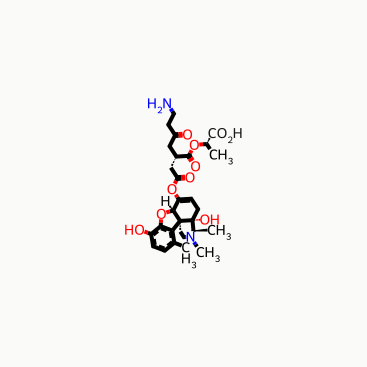 Cc1ccc(O)c2c1[C@]13CCN(C)[C@H](C)[C@]1(O)CC=C(OC(=O)C[C@H](CC(=O)CCN)C(=O)O[C@@H](C)C(=O)O)[C@@H]3O2